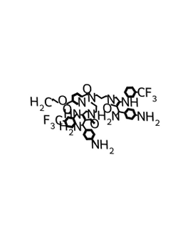 C=CCOC(=O)c1ccc(C(=O)N(CCCN2CC(Nc3cccc(C(F)(F)F)c3)=C([C@H](N)c3ccc(N)cc3)C2=O)CCCN2CC(Nc3cccc(C(F)(F)F)c3)=C([C@H](N)c3ccc(N)cc3)C2=O)nc1